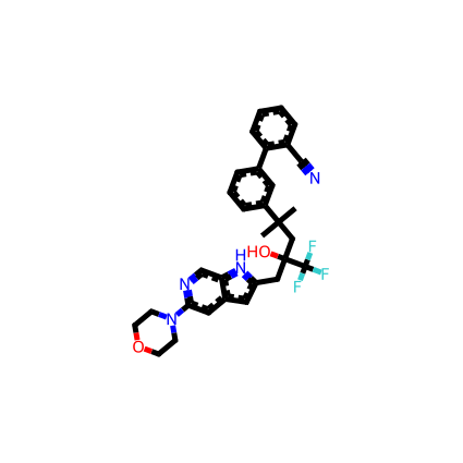 CC(C)(CC(O)(Cc1cc2cc(N3CCOCC3)ncc2[nH]1)C(F)(F)F)c1cccc(-c2ccccc2C#N)c1